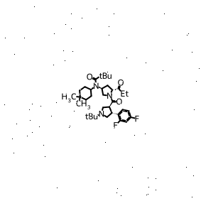 CCC(=O)[C@H]1C[C@H](N(C(=O)C(C)(C)C)C2CCC(C)(C)CC2)CN1C(=O)[C@@H]1CN(C(C)(C)C)C[C@H]1c1ccc(F)cc1F